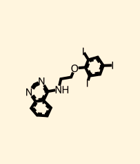 Ic1cc(I)c(OCCNc2ncnc3ccccc23)c(I)c1